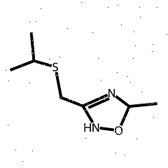 CC1N=C(CSC(C)C)NO1